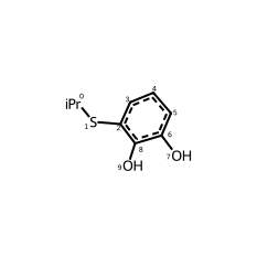 CC(C)Sc1cccc(O)c1O